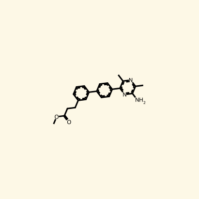 COC(=O)CCc1cccc(-c2ccc(-c3nc(N)c(C)nc3C)cc2)c1